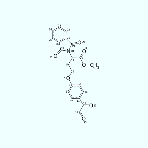 COC(=O)C(CCOc1ccc(C(=O)[C]=O)cc1)N1C(=O)c2ccccc2C1=O